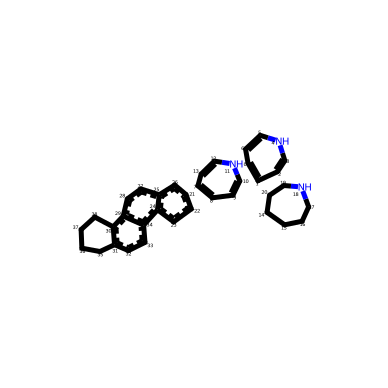 C1=CC=CNC=C1.C1=CC=CNC=C1.C1CCCNCC1.c1ccc2c(c1)ccc1c3c(ccc12)CCCC3